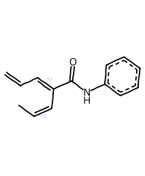 C=C/C=C(\C=C/C)C(=O)Nc1ccccc1